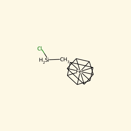 C[SiH2]Cl.[CH]12[CH]3[CH]4[CH]5[CH]1[Fe]23451678[CH]2[CH]1[CH]6[CH]7[CH]28